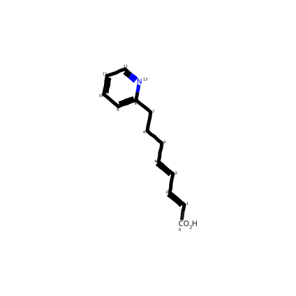 O=C(O)C=CC=CCCCc1ccccn1